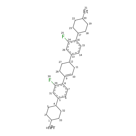 CCCC1CCC(c2ccc(C3=CCC(c4ccc(C5CCC(CC)CC5)c(F)c4)CC3)c(F)c2)CC1